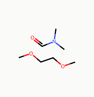 CN(C)C=O.COCCOC